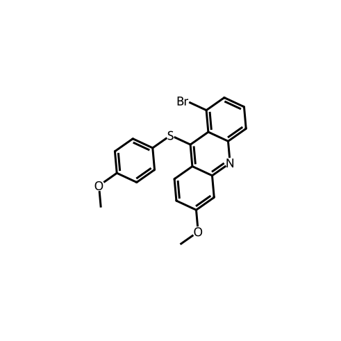 COc1ccc(Sc2c3ccc(OC)cc3nc3cccc(Br)c23)cc1